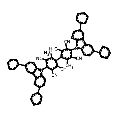 Cc1c(C#N)c(-n2c3ccc(-c4ccccc4)cc3c3cc(-c4ccccc4)ccc32)c(C#N)c(C)c1-c1c(C)c(C#N)c(-n2c3ccc(-c4ccccc4)cc3c3cc(-c4ccccc4)ccc32)c(C#N)c1C